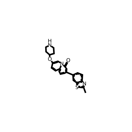 Cc1nc2ccc(C3=C\C(=O)N4C=C(OC5CCNCC5)C=C\C4=C/C=C/3)cc2s1